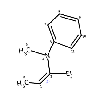 C/C=C(/CC)N(C)c1ccccc1